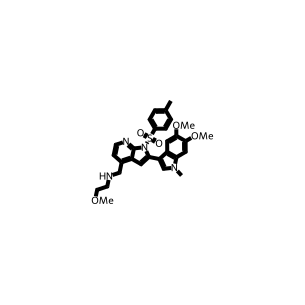 COCCNCc1ccnc2c1cc(-c1cn(C)c3cc(OC)c(OC)cc13)n2S(=O)(=O)c1ccc(C)cc1